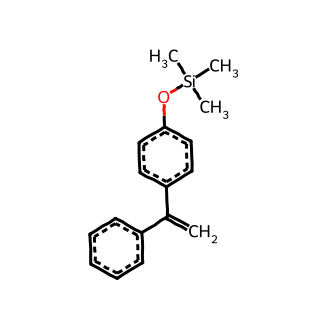 C=C(c1ccccc1)c1ccc(O[Si](C)(C)C)cc1